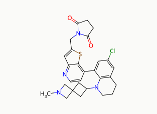 CN1CC2(CC(N3CCCc4cc(Cl)cc(-c5ccnc6cc(CN7C(=O)CCC7=O)sc56)c43)C2)C1